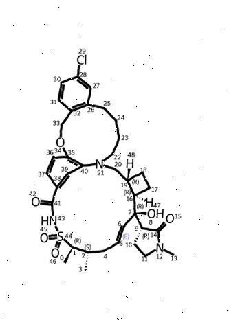 C[C@@H]1[C@@H](C)C/C=C/[C@@](O)([C@H]2CCN(C)C2=O)[C@@H]2CC[C@H]2CN2CCCCc3cc(Cl)ccc3COc3ccc(cc32)C(=O)NS1(=O)=O